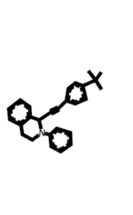 CC(C)(C)c1ccc(C#CC2c3ccccc3CCN2c2ccccc2)cc1